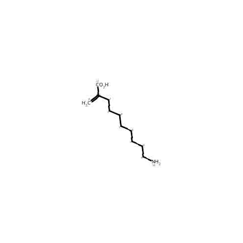 C=C(CCCCCCCCN)C(=O)O